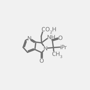 CC(C)C1(C)C(=O)NC2(CC(=O)O)c3ncccc3C(=O)N21